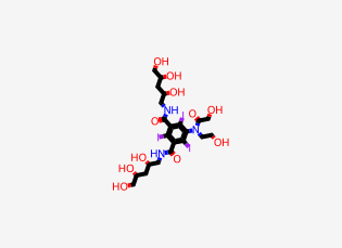 O=C(NCC(O)CC(O)CO)c1c(I)c(C(=O)NCC(O)CC(O)CO)c(I)c(N(CCO)C(=O)CO)c1I